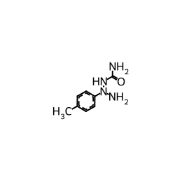 Cc1ccc(N(N)NC(N)=O)cc1